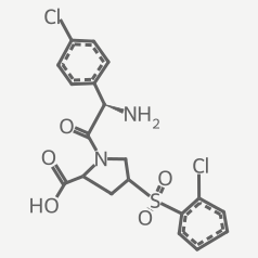 N[C@@H](C(=O)N1CC(S(=O)(=O)c2ccccc2Cl)CC1C(=O)O)c1ccc(Cl)cc1